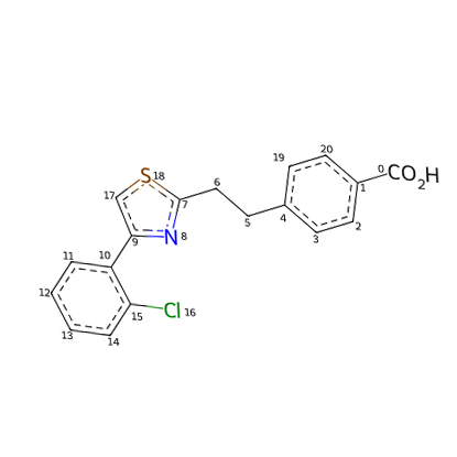 O=C(O)c1ccc(CCc2nc(-c3ccccc3Cl)cs2)cc1